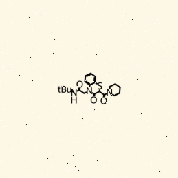 CC(C)(C)NC(=O)CN1C(=O)C(C(=O)N2CCCCC2)Sc2ccccc21